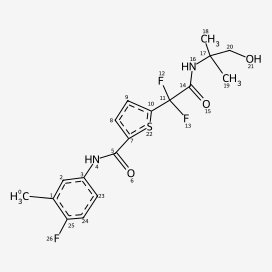 Cc1cc(NC(=O)c2ccc(C(F)(F)C(=O)NC(C)(C)CO)s2)ccc1F